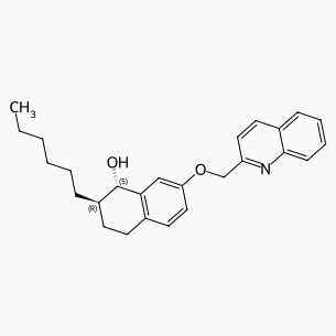 CCCCCC[C@@H]1CCc2ccc(OCc3ccc4ccccc4n3)cc2[C@H]1O